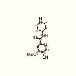 COc1cc(C(=O)NC2CCNCC2)ncc1C#N